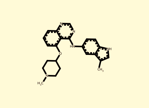 Cc1c[nH]c2ccc(Nc3ncnc4cccc(OC5CCN(C)CC5)c34)cc12